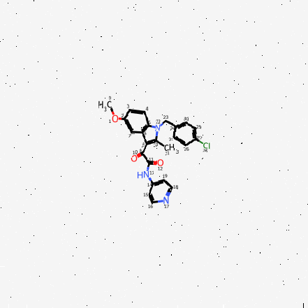 COc1ccc2c(c1)c(C(=O)C(=O)Nc1ccncc1)c(C)n2Cc1ccc(Cl)cc1